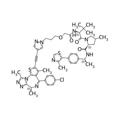 Cc1ncsc1-c1ccc([C@H](C)NC(=O)[C@@H]2CC(C)CN2C(=O)[C@@H](NC(=O)COCCCn2cc(C#Cc3sc4c(c3C)C(c3ccc(Cl)cc3)=N[C@@H](C)c3nnc(C)n3-4)cn2)C(C)(C)C)cc1